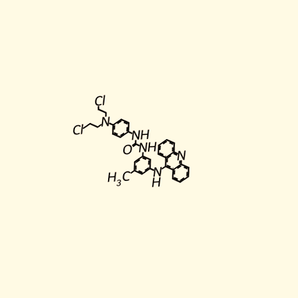 Cc1cc(NC(=O)Nc2ccc(N(CCCl)CCCl)cc2)cc(Nc2c3ccccc3nc3ccccc23)c1